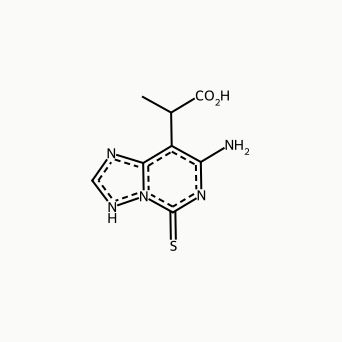 CC(C(=O)O)c1c(N)nc(=S)n2[nH]cnc12